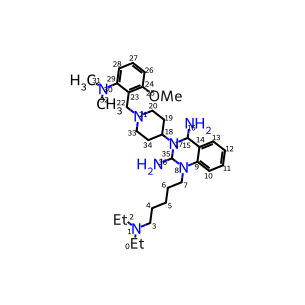 CCN(CC)CCCCCN1c2ccccc2C(N)N(C2CCN(Cc3c(OC)cccc3N(C)C)CC2)C1N